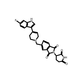 O=C1CCC(N2C(=O)c3ccc(CN4CC=C(c5c[nH]c6cc(F)ccc56)CC4)cc3C2=O)C(=O)N1